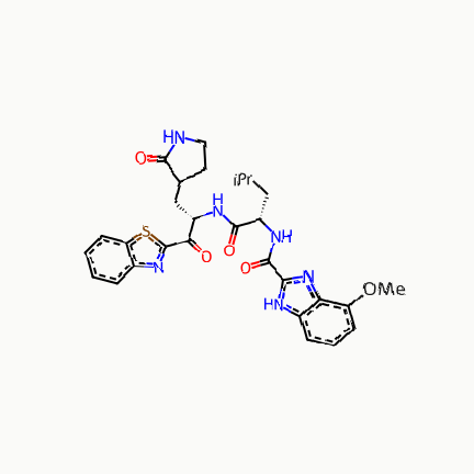 COc1cccc2[nH]c(C(=O)N[C@@H](CC(C)C)C(=O)N[C@@H](CC3CCNC3=O)C(=O)c3nc4ccccc4s3)nc12